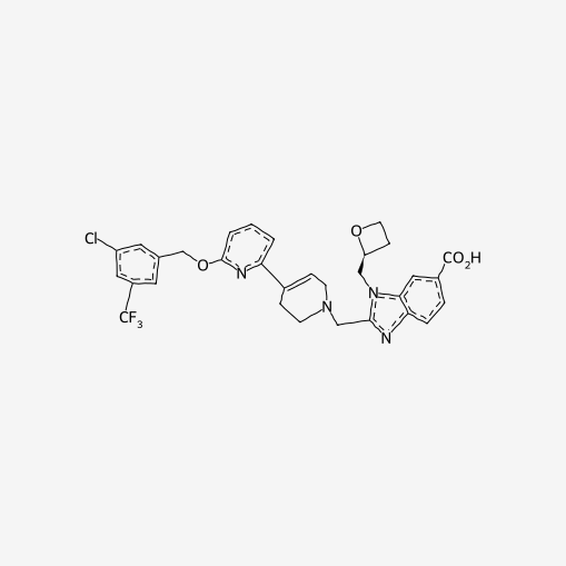 O=C(O)c1ccc2nc(CN3CC=C(c4cccc(OCc5cc(Cl)cc(C(F)(F)F)c5)n4)CC3)n(C[C@@H]3CCO3)c2c1